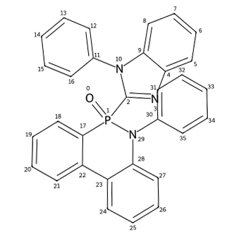 O=P1(c2nc3ccccc3n2-c2ccccc2)c2ccccc2-c2ccccc2N1c1ccccc1